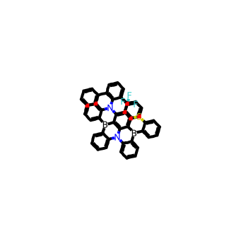 FC(F)(F)c1c2c3c4c5c1N(c1c(-c6ccccc6)cccc1-c1ccccc1)c1ccccc1B5c1ccccc1N4c1ccccc1B3c1ccccc1S2